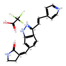 O=C(O)C(F)(F)F.O=C1NCCC1=Cc1ccc2c(/C=C/c3ccncc3)n[nH]c2c1